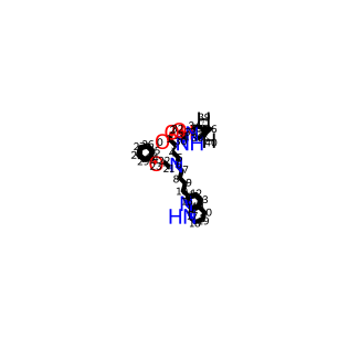 O=C(O)[C@H](CCN(CCCCc1ccc2c(n1)NCCC2)CCOc1ccccc1)NC(=O)N1C[C@H]2C[C@H]2C1